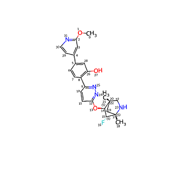 COc1cc(-c2ccc(-c3ccc(O[C@@H]4[C@@H](F)[C@]5(C)C[C@@]4(C)CN5)nn3)c(O)c2)ccn1